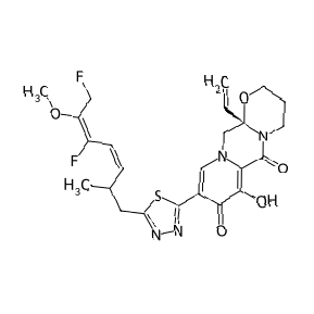 C=C[C@]12Cn3cc(-c4nnc(CC(C)/C=C\C(F)=C(/CF)OC)s4)c(=O)c(O)c3C(=O)N1CCCO2